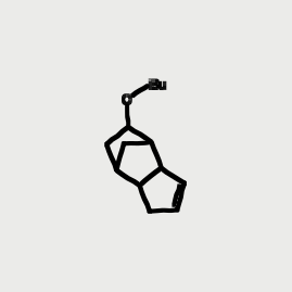 CCC(C)OC1CC2CC1C1C=CCC21